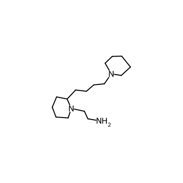 NCCN1CCCCC1CCCCN1CCCCC1